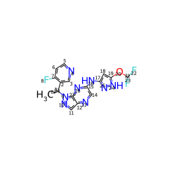 C[C@@H](c1cnccc1F)n1ncc2ncc(Nc3cc(OC(F)F)[nH]n3)nc21